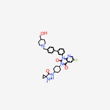 CN(C)C1(C(=O)NC2CCC(n3c(=O)c4cc(F)cnc4n(-c4cccc(-c5ccc(CN6CCC(CO)CC6)cc5)c4)c3=O)CC2)CC1